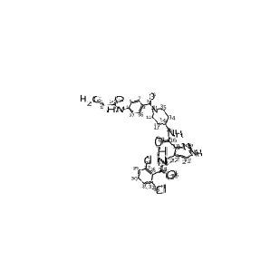 C=CC(=O)Nc1ccc(C(=O)N2CCC(NC(=O)c3n[nH]cc3NC(=O)c3c(Cl)cccc3Cl)CC2)cc1